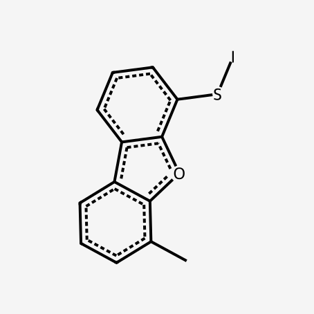 Cc1cccc2c1oc1c(SI)cccc12